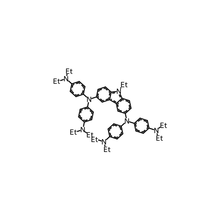 CCN(CC)c1ccc(N(c2ccc(N(CC)CC)cc2)c2ccc3c(c2)c2cc(N(c4ccc(N(CC)CC)cc4)c4ccc(N(CC)CC)cc4)ccc2n3CC)cc1